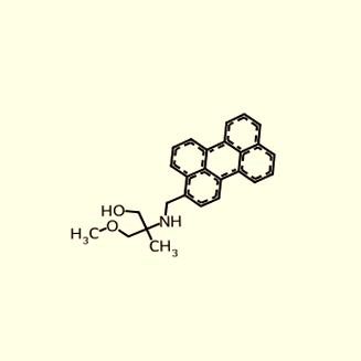 COCC(C)(CO)NCc1ccc2c3cccc4cccc(c5cccc1c52)c43